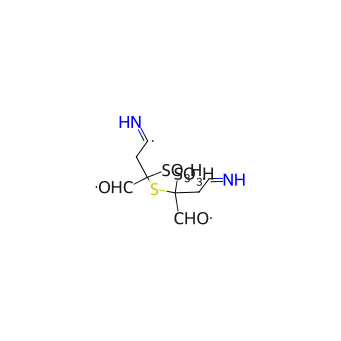 N=[C]CC([C]=O)(SC([C]=O)(C[C]=N)S(=O)(=O)O)S(=O)(=O)O